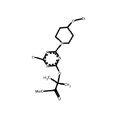 CCOC1CCN(c2nc(Cl)nc(OC(C)(C)C(=O)OC)n2)CC1